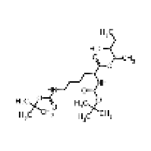 C=C(OC(=O)[C@H](CCCCNC(=O)OC(C)(C)C)NC(=O)OC(C)(C)C)[C@@H](C)CC